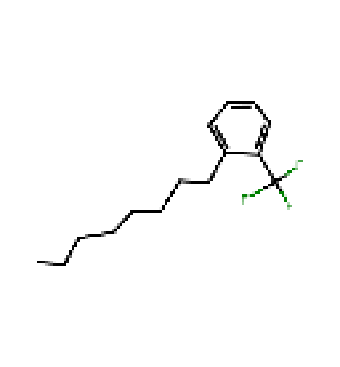 CCCCCC[CH]Cc1ccccc1C(F)(F)F